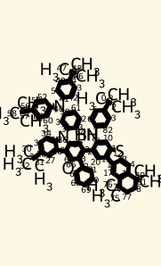 CC(C)(C)c1ccc(Nc2cc3sc4cc5c(cc4c3cc2-c2c3c4c(c6cc(C(C)(C)C)ccc6n4-c4cc(N(c6ccc(C(C)(C)C)cc6)c6ccc(C(C)(C)C)cc6)ccc4B3)c3oc4ccccc4c23)C(C)(C)CCC5(C)C)cc1